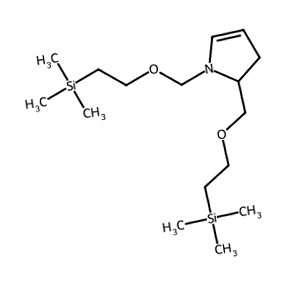 C[Si](C)(C)CCOCC1CC=CN1COCC[Si](C)(C)C